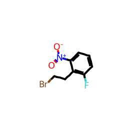 O=[N+]([O-])c1cccc(F)c1CCBr